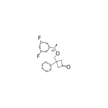 C[C@@H](OCC1(c2ccccc2)CC(=O)C1)c1cc(F)cc(F)c1